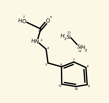 O=C(O)NCCc1ccccc1.[SiH3][SiH3]